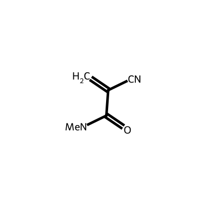 C=C(C#N)C(=O)NC